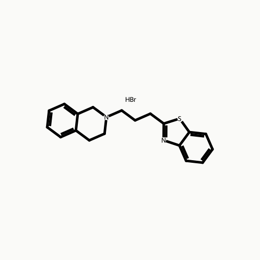 Br.c1ccc2c(c1)CCN(CCCc1nc3ccccc3s1)C2